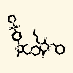 CCCCN1C(=O)[C@H](CC2CCCCC2)NC(=O)C12CCN(Cc1c(C)nn(-c3ccc(S(=O)(=O)N4CCCC4)cc3)c1C)CC2